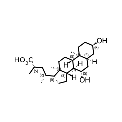 C[C@H](C[C@H](C)C(=O)O)[C@H]1CC[C@H]2[C@@H]3[C@@H](O)C[C@@H]4C[C@H](O)CC[C@]4(C)[C@H]3CC[C@]12C